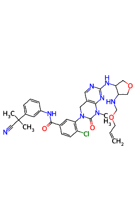 C=CCOCNC1COCC1Nc1ncc2c(n1)N(C)C(=O)N(c1cc(C(=O)Nc3cccc(C(C)(C)C#N)c3)ccc1Cl)C2